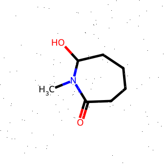 CN1C(=O)CCCCC1O